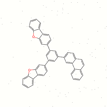 c1ccc2c(c1)ccc1ccc(-c3cc(-c4ccc5c(c4)oc4ccccc45)cc(-c4ccc5c(c4)oc4ccccc45)c3)cc12